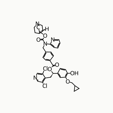 O=C(O[C@H](Cc1c(Cl)cncc1Cl)c1ccc(O)c(OCC2CC2)c1)c1ccc(CN(C(=O)O[C@H]2CN3CCC2CC3)c2ccccn2)cc1